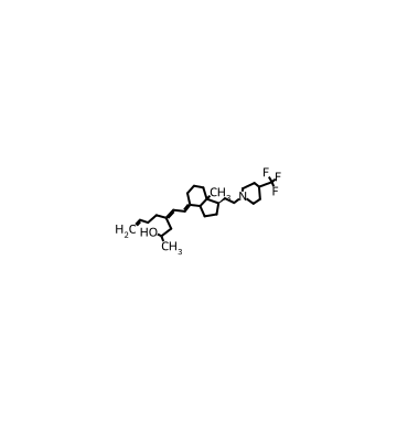 C=CCC/C(=C/C=C1\CCCC2(C)C1CC[C@@H]2CCN1CCC(C(F)(F)F)CC1)CC(C)O